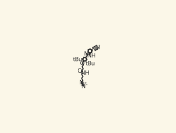 CN1CCN(c2ccc3nc(-c4cc(C(C)(C)C)c(OCCCC(=O)NCCCCN=[N+]=[N-])c(C(C)(C)C)c4)[nH]c3c2)CC1